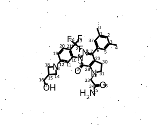 Cc1cc(C)cc(-c2nn(-c3cc(N4CC(CO)C4)ccc3C(F)(F)F)c(=O)c3c2CCN3CC(N)=O)c1